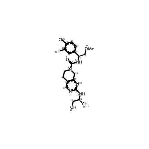 COC[C@@H](NC(=O)N1CCc2cnc(N[C@@H](C)CO)nc2C1)c1ccc(Cl)c(F)c1